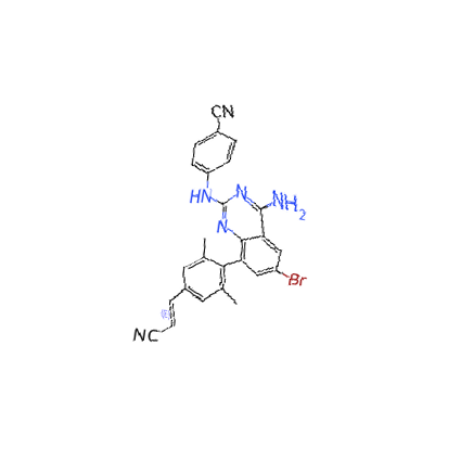 Cc1cc(/C=C/C#N)cc(C)c1-c1cc(Br)cc2c(N)nc(Nc3ccc(C#N)cc3)nc12